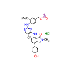 COc1cc(CO[PH2]=O)ccc1Nc1ncc(C(F)(F)F)c(Nc2ccc([C@H]3CC[C@H](O)CC3)c3c2C(=O)N(C)C3)n1.Cl